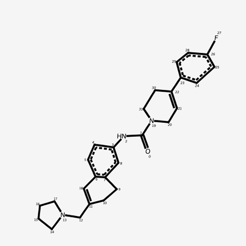 O=C(Nc1ccc2c(c1)CCC(CN1CCCC1)=C2)N1CC=C(c2ccc(F)cc2)CC1